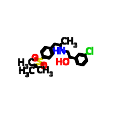 CC(Cc1ccc(S(=O)(=O)C(C)(C)C)cc1)NCC(O)c1cccc(Cl)c1